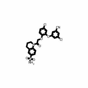 N#Cc1cc(Cl)cc(Oc2cc(Cl)ccc2OCC(=O)N2CCCc3cc(S(N)(=O)=O)ccc32)c1